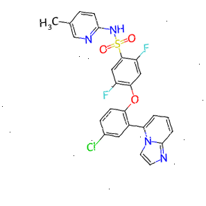 Cc1ccc(NS(=O)(=O)c2cc(F)c(Oc3ccc(Cl)cc3-c3cccc4nccn34)cc2F)nc1